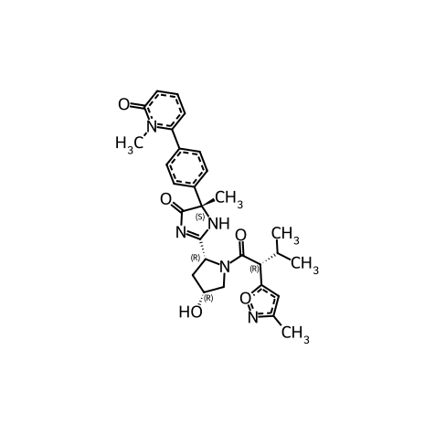 Cc1cc([C@H](C(=O)N2C[C@H](O)C[C@@H]2C2=NC(=O)[C@](C)(c3ccc(-c4cccc(=O)n4C)cc3)N2)C(C)C)on1